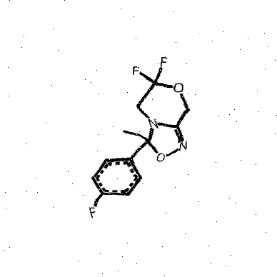 CC1(c2ccc(F)cc2)ON=C2COC(F)(F)CN21